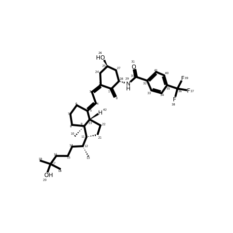 C=C1/C(=C\C=C2/CCC[C@]3(C)[C@@H]([C@H](C)CCCC(C)(C)O)CC[C@@H]23)C[C@@H](O)C[C@@H]1NC(=O)c1ccc(C(F)(F)F)cc1